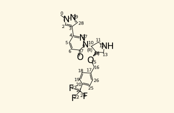 Cn1cc(-c2ccc(=O)n([C@@H]3CNC[C@H]3OCc3ccc(C(F)(F)F)cc3)n2)cn1